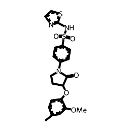 COc1cc(C)ccc1OC1CCN(c2ccc(S(=O)(=O)Nc3nccs3)cc2)C1=O